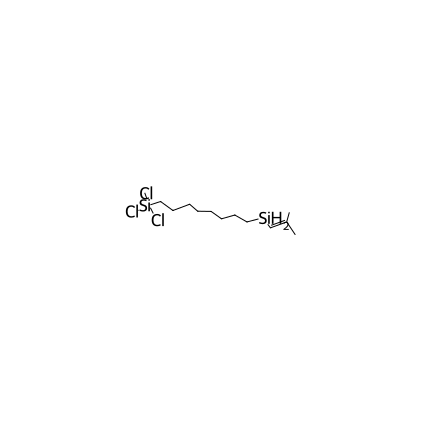 CC(C)=C[SiH2]CCCCCCCC[Si](Cl)(Cl)Cl